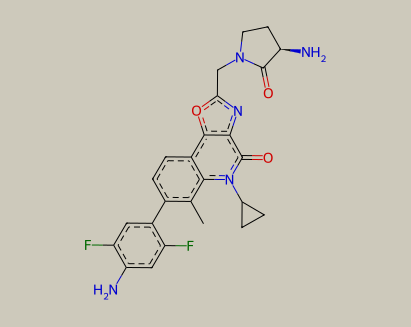 Cc1c(-c2cc(F)c(N)cc2F)ccc2c3oc(CN4CC[C@@H](N)C4=O)nc3c(=O)n(C3CC3)c12